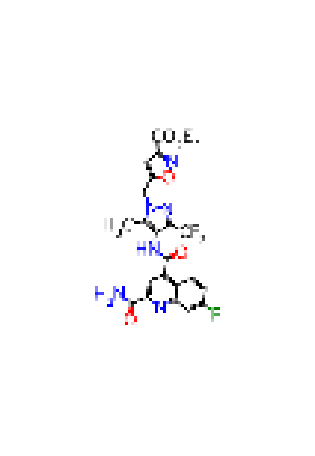 CCOC(=O)c1cc(Cn2nc(C(F)(F)F)c(NC(=O)c3cc(C(N)=O)nc4cc(F)ccc34)c2C)on1